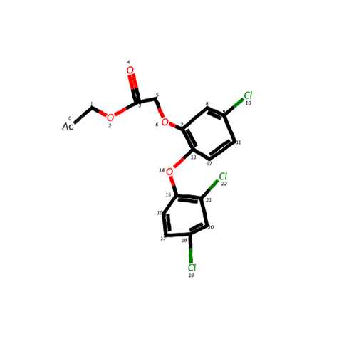 CC(=O)COC(=O)COc1cc(Cl)ccc1Oc1ccc(Cl)cc1Cl